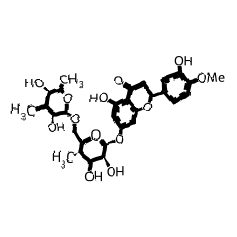 COc1ccc(C2CC(=O)c3c(O)cc(O[C@@H]4OC(CO[C@@H]5OC(C)[C@H](O)C(C)[C@@H]5O)[C@@H](C)C(O)[C@@H]4O)cc3O2)cc1O